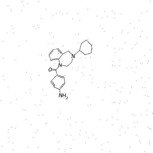 Nc1ccc(C(=O)N2CCN(C3CCCCC3)Cc3ccccc32)cc1